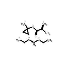 C=C(C)C(=O)OC1(C)CC1.CCO[SiH2]OCC